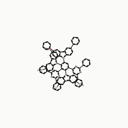 Cc1ccc2c(c1)c1cc(C)ccc1n2-c1c(-c2cc(-c3ccccc3)nc(-c3ccccc3)n2)cc(-n2c3ccc(-c4ccccc4)cc3c3cc(-c4ccccc4)ccc32)c(-n2c3ccc(C)cc3c3cc(C)ccc32)c1-c1cc(-c2ccccc2)nc(-c2ccccc2)n1